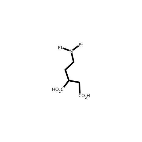 CCN(CC)CCC(CC(=O)O)C(=O)O